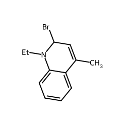 CCN1c2ccccc2C(C)=CC1Br